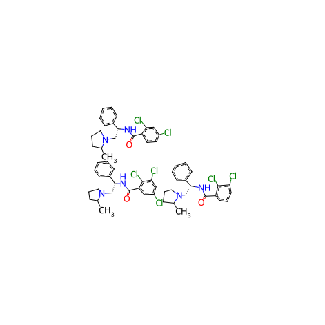 CC1CCCN1C[C@@H](NC(=O)c1cc(Cl)cc(Cl)c1Cl)c1ccccc1.CC1CCCN1C[C@@H](NC(=O)c1ccc(Cl)cc1Cl)c1ccccc1.CC1CCCN1C[C@@H](NC(=O)c1cccc(Cl)c1Cl)c1ccccc1